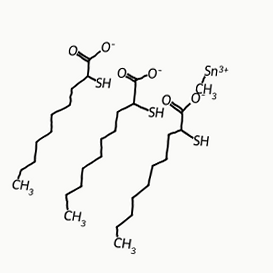 CCCCCCCCC(S)C(=O)[O-].CCCCCCCCC(S)C(=O)[O-].CCCCCCCCC(S)C(=O)[O-].[CH3][Sn+3]